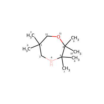 CC1(C)CBC(C)(C)C(C)(C)OC1